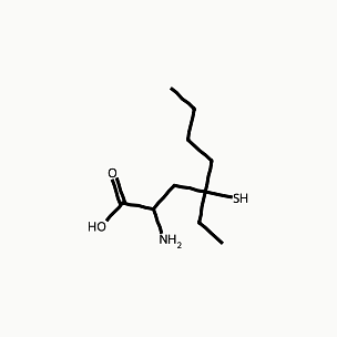 CCCCC(S)(CC)CC(N)C(=O)O